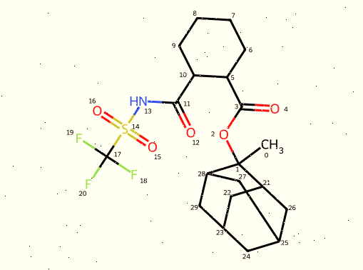 CC1(OC(=O)C2CCCCC2C(=O)NS(=O)(=O)C(F)(F)F)C2CC3CC(C2)CC1C3